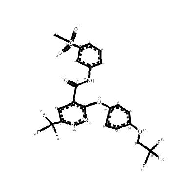 CS(=O)(=O)c1cccc(NC(=O)c2cc(C(F)(F)F)nnc2Oc2ccc(OCC(F)(F)F)cc2)c1